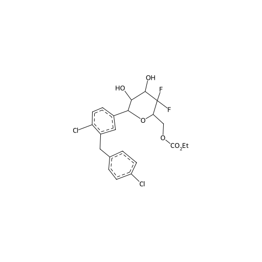 CCOC(=O)OCC1OC(c2ccc(Cl)c(Cc3ccc(Cl)cc3)c2)C(O)C(O)C1(F)F